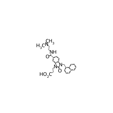 CN(C)CCNC(=O)c1ccc2c(c1)n(CCC(=O)O)c(=O)n2Cc1cccc2ccccc12